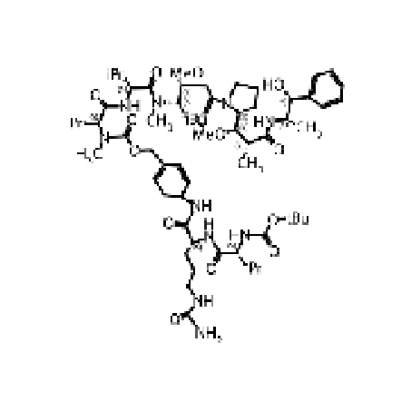 CC[C@H](C)[C@@H]([C@@H](CC(=O)N1CCC[C@H]1[C@H](OC)[C@@H](C)C(=O)N[C@H](C)[C@@H](O)c1ccccc1)OC)N(C)C(=O)[C@@H](NC(=O)[C@H](C(C)C)N(C)C(=O)OCC1=CCC(NC(=O)[C@H](CCCNC(N)=O)NC(=O)[C@@H](NC(=O)OC(C)(C)C)C(C)C)C=C1)C(C)C